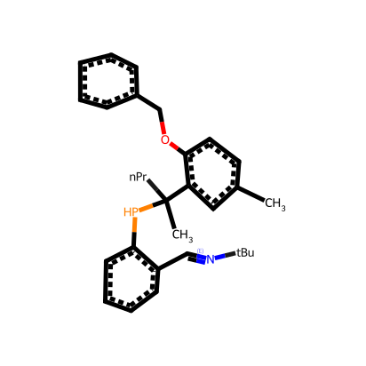 CCCC(C)(Pc1ccccc1/C=N/C(C)(C)C)c1cc(C)ccc1OCc1ccccc1